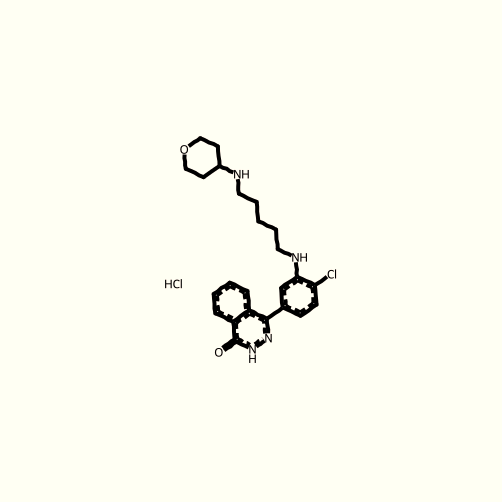 Cl.O=c1[nH]nc(-c2ccc(Cl)c(NCCCCCNC3CCOCC3)c2)c2ccccc12